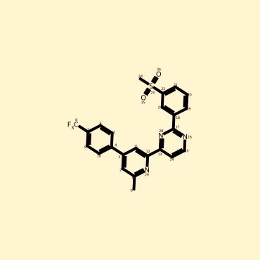 Cc1cc(-c2ccc(C(F)(F)F)cc2)cc(-c2ccnc(-c3cccc(S(C)(=O)=O)c3)n2)n1